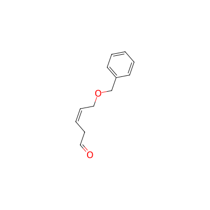 O=CC/C=C\COCc1ccccc1